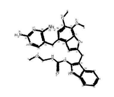 COCNC(=O)Oc1[nH]c2ccccc2c1Cc1cc2c(Cc3cnc(N)nc3N)cc(OC)c(OC)c2o1